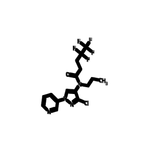 CCCN(C(=O)CCC(F)(F)C(F)(F)F)c1cn(-c2cccnc2)nc1Cl